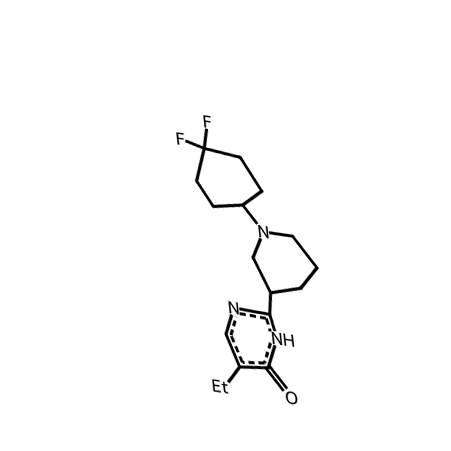 CCc1cnc(C2CCCN(C3CCC(F)(F)CC3)C2)[nH]c1=O